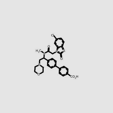 CN(C(=O)Cn1c(=O)sc2ccc(Cl)cc21)C(CN1CCOCC1)c1ccc(-c2ccc(C(=O)O)cc2)cc1